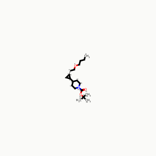 CCCCOCC[C@H]1CC1C1CCN(C(=O)OC(C)(C)C)CC1